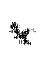 Nc1ccn([C@@H]2O[C@H](COP(=O)(O)O)[C@@H](OP(=O)(O)OC[C@H]3[CH][C@@H](O)[C@H](n4cnc5c(N)ncnc54)O3)[C@H]2O)c(=O)n1